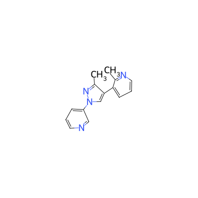 Cc1ncccc1-c1cn(-c2cccnc2)nc1C